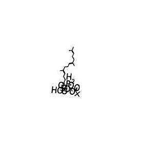 CC(C)=CCCC(C)=CCCC(C)=CCCCC(OCOC(=O)C(C)(C)C)([PH2]=O)S(=O)(=O)O